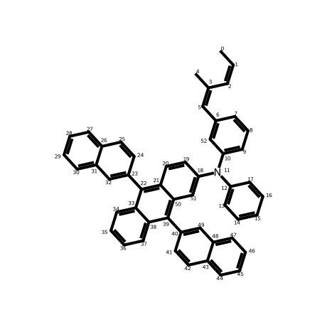 C/C=C\C(C)=C/c1cccc(N(c2ccccc2)c2ccc3c(-c4ccc5ccccc5c4)c4ccccc4c(-c4ccc5ccccc5c4)c3c2)c1